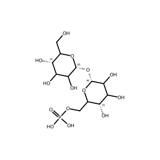 O=P(O)(O)OCC1O[C@H](O[C@H]2OC(CO)[C@@H](O)C(O)C2O)C(O)C(O)[C@@H]1O